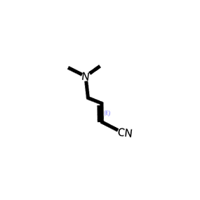 CN(C)C/C=C/C#N